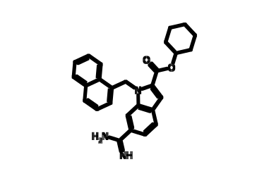 N=C(N)c1ccc2cc(C(=O)OC3CCCCC3)n(Cc3cccc4ccccc34)c2c1